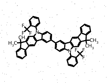 CC1(C)c2ccccc2-c2cc3c4cc(-c5ccc6c(c5)c5cc7c(cc5n6-c5ccccc5C(F)(F)F)C(C)(C)c5ccccc5-7)ccc4n(-c4ccccc4C(F)(F)F)c3cc21